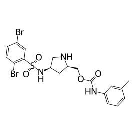 Cc1cccc(NC(=O)OC[C@H]2C[C@@H](NS(=O)(=O)c3cc(Br)ccc3Br)CN2)c1